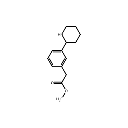 COC(=O)Cc1cccc(C2CCCCN2)c1